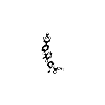 CC[C@@H]1C[C@H](Oc2ncnc(Oc3ccc(C4COS(=O)OC4)cc3)c2C)CCN1C(=O)O